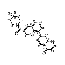 O=C(c1cnc2c(-c3ccn4c(=O)ccnc4c3)cccc2c1)N1CCC(F)(F)CC1